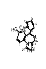 Oc1ccc2c(n1)C(c1ccccc1Cl)=NCc1nncn1-2